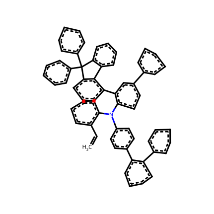 C=Cc1ccccc1N(c1ccc(-c2ccccc2-c2ccccc2)cc1)c1ccc(-c2ccccc2)cc1-c1cccc2c1-c1ccccc1C2(c1ccccc1)c1ccccc1